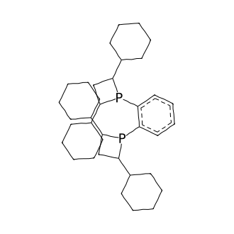 c1ccc(P2C(C3CCCCC3)CC2C2CCCCC2)c(P2C(C3CCCCC3)CC2C2CCCCC2)c1